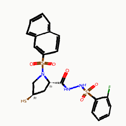 O=C(NNS(=O)(=O)c1ccccc1F)[C@@H]1C[C@@H](S)CN1S(=O)(=O)c1ccc2ccccc2c1